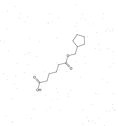 O=C(O)CCCCC(=O)OCC1CCCC1